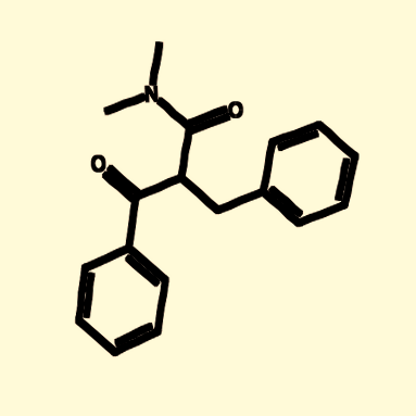 CN(C)C(=O)C(Cc1ccccc1)C(=O)c1ccccc1